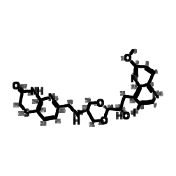 COc1ccc2ncc(F)c(C[C@H](O)[C@H]3OC[C@H](NCc4ccc5c(n4)NC(=O)CS5)CO3)c2n1